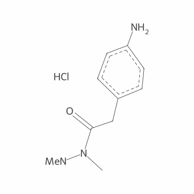 CNN(C)C(=O)Cc1ccc(N)cc1.Cl